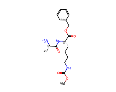 CC(C)[C@H](N)C(=O)N[C@@H](CCCCNC(=O)OC(C)(C)C)C(=O)OCc1ccccc1